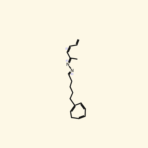 C=C\C=C/C(C)=N/N=C/CCCCC1=CCC=CC=C1